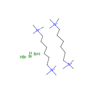 Br.Br.Br.C[N+](C)(C)CCCCCC[N+](C)(C)C.C[N+](C)(C)CCCCCC[N+](C)(C)C